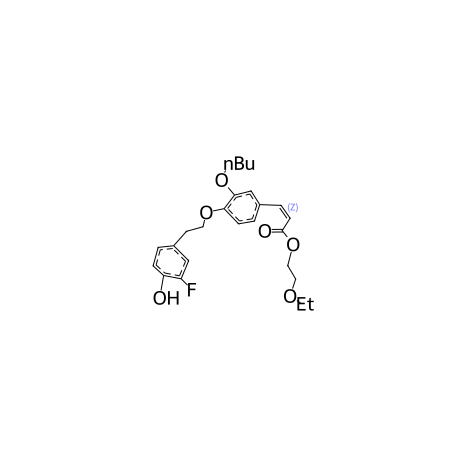 CCCCOc1cc(/C=C\C(=O)OCCOCC)ccc1OCCc1ccc(O)c(F)c1